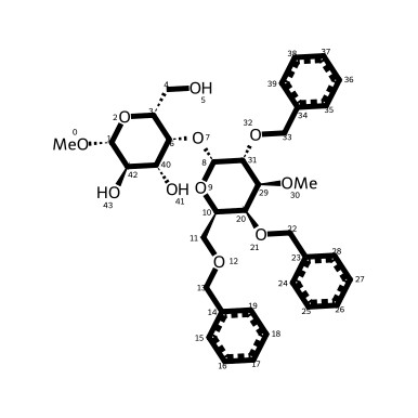 CO[C@@H]1O[C@H](CO)[C@H](O[C@H]2O[C@H](COCc3ccccc3)[C@H](OCc3ccccc3)[C@H](OC)[C@H]2OCc2ccccc2)[C@H](O)[C@H]1O